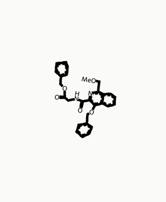 COCc1nc(C(=O)NCC(=O)OCc2ccccc2)c(OCc2ccccc2)c2ccccc12